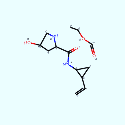 C=CC1CC1NC(=O)C1CC(O)CN1.CCOC=O